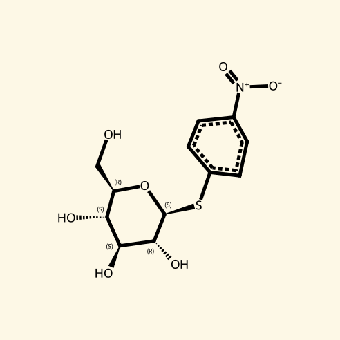 O=[N+]([O-])c1ccc(S[C@@H]2O[C@H](CO)[C@@H](O)[C@H](O)[C@H]2O)cc1